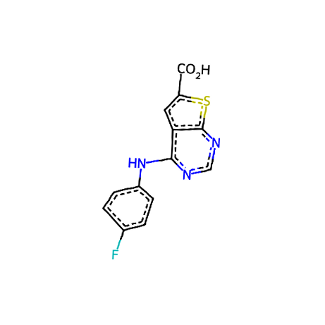 O=C(O)c1cc2c(Nc3ccc(F)cc3)ncnc2s1